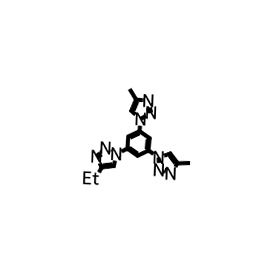 CCc1cn(-c2cc(-n3cc(C)nn3)cc(-n3cc(C)nn3)c2)nn1